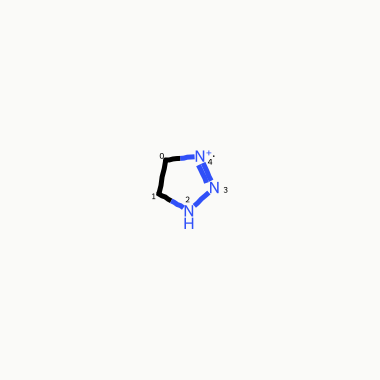 C1CNN=[N+]1